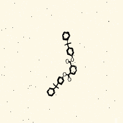 CC(C)(c1ccccc1)c1ccc(OC(=O)c2cccc(C(=O)Oc3ccc(C(C)(C)c4ccccc4)cc3)c2)cc1